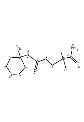 C[Si](C)(C[CH]C(=O)NC1(C#N)CCSCC1)C(N)=O